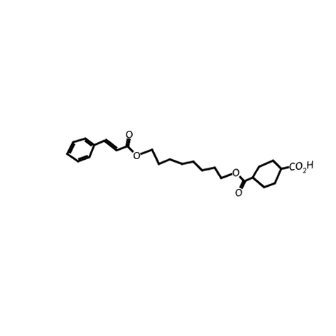 O=C(/C=C/c1ccccc1)OCCCCCCCCOC(=O)C1CCC(C(=O)O)CC1